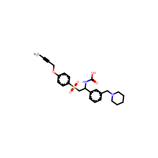 CC#CCOc1ccc(S(=O)(=O)CC(NC(=O)O)c2cccc(CN3CCCCC3)c2)cc1